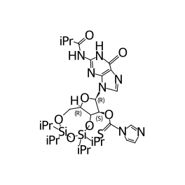 CC(C)C(=O)Nc1nc2c(ncn2[C@@H]2O[C@@H]3CO[Si](C(C)C)(C(C)C)O[Si](C(C)C)(C(C)C)OC3[C@@H]2OC(=S)n2ccnc2)c(=O)[nH]1